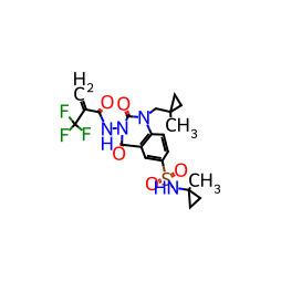 C=C(C(=O)Nn1c(=O)c2cc(S(=O)(=O)NC3(C)CC3)ccc2n(CC2(C)CC2)c1=O)C(F)(F)F